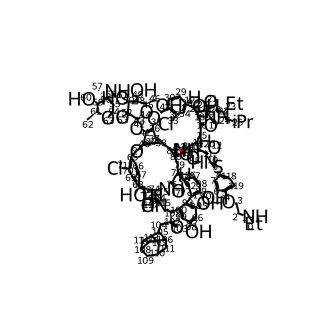 CCNCCOc1ccc(SNC(=O)C[C@@H]2CC(=O)[C@H](NC(=O)[C@@H](CC)CC(C)C)[C@H](O)c3ccc(c(Cl)c3)Oc3cc4cc(c3O[C@@H]3O[C@H](CO)[C@H](O)[C@H](O)[C@@H]3O[C@H]3C[C@](C)(N)[C@H](O)[C@H](C)O3)Oc3ccc(cc3Cl)[C@H](O)[C@H]3NC(=O)[C@@H](CC(=O)[C@@H]4NC2=O)c2ccc(O)c(c2)-c2c(O)cc(O)cc2[C@@H](C(=O)CC2C4CC5CC(C4)CC2C5)NC3=O)cc1